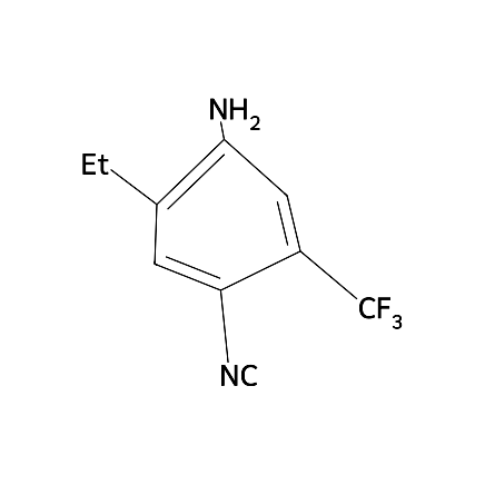 [C-]#[N+]c1cc(CC)c(N)cc1C(F)(F)F